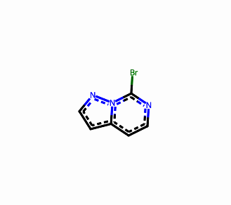 Brc1nccc2ccnn12